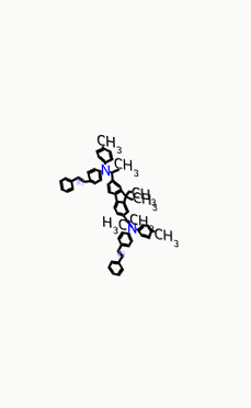 CCC(c1ccc2c(c1)C(CC)(CC)c1cc(C(C)(C)N(c3ccc(C)cc3)c3ccc(/C=C/c4ccccc4)cc3)ccc1-2)N(c1ccc(C)cc1)c1ccc(/C=C/c2ccccc2)cc1